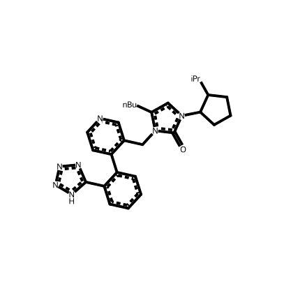 CCCCc1cn(C2CCCC2C(C)C)c(=O)n1Cc1cnccc1-c1ccccc1-c1nnn[nH]1